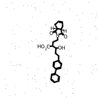 O=C(O)C(CCN1C(=O)[C@H]2CC=CC[C@H]2C1=O)C(O)CCc1ccc(-c2ccccc2)cc1